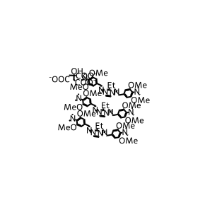 CCc1n(/N=C/c2cc(OC)c(N(C)C)c(OC)c2)cc[n+]1/N=C/c1cc(OC)c(N(C)C)c(OC)c1.CCc1n(/N=C/c2cc(OC)c(N(C)C)c(OC)c2)cc[n+]1/N=C/c1cc(OC)c(N(C)C)c(OC)c1.CCc1n(/N=C/c2cc(OC)c(N(C)C)c(OC)c2)cc[n+]1/N=C/c1cc(OC)c(N(C)C)c(OC)c1.O=C([O-])CC(O)(CC(=O)[O-])C(=O)[O-]